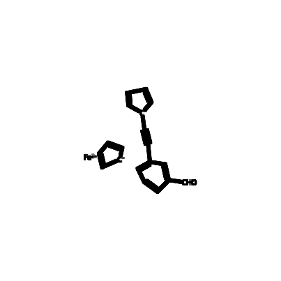 O=Cc1cccc(C#C[c-]2cccc2)c1.[Fe+2].c1cc[cH-]c1